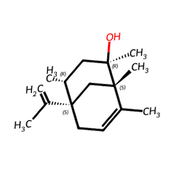 C=C(C)[C@@]12CC=C(C)[C@](C)(C1)[C@](C)(O)C[C@H]2C